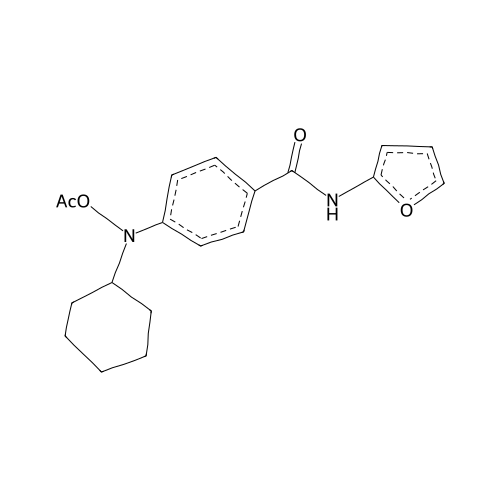 CC(=O)ON(c1ccc(C(=O)Nc2ccco2)cc1)C1CCCCC1